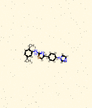 Cc1ccc(C)c(Nc2nc(-c3ccc(-n4ccnc4)cc3)cs2)c1